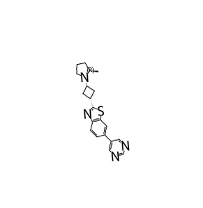 C[C@@H]1CCCN1[C@H]1C[C@@H](c2nc3ccc(-c4cncnc4)cc3s2)C1